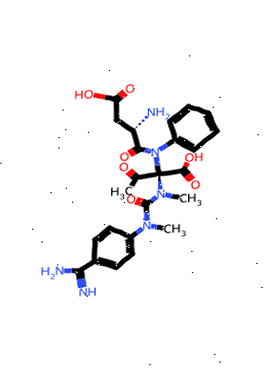 CC(=O)[C@](C(=O)O)(N(C)C(=O)N(C)c1ccc(C(=N)N)cc1)N(C(=O)[C@@H](N)CC(=O)O)c1ccccc1